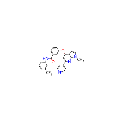 Cn1ccc2c(Oc3cccc(C(=O)Nc4cccc(C(F)(F)F)c4)c3)cc(-c3ccncc3)nc21